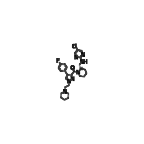 O=C(c1nn(CCN2CCCCC2)cc1-c1ccc(F)cc1)N1CCCC[C@H]1CNc1ncc(Cl)cn1